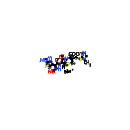 Cn1cnnc1SCC1=C(C(=O)[O-])N2C(=O)C(NC(=O)C(=NO)c3csc(=N)[nH]3)[C@@H]2SC1.[Na+]